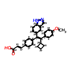 COc1ccc(C(=C(c2ccc(C=CC(=O)O)cc2)c2ccc3[nH]ncc3c2)C2CCC2)cc1